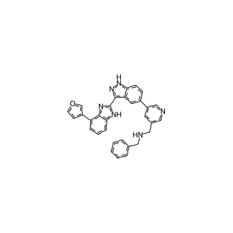 c1ccc(CNCc2cncc(-c3ccc4[nH]nc(-c5nc6c(-c7ccoc7)cccc6[nH]5)c4c3)c2)cc1